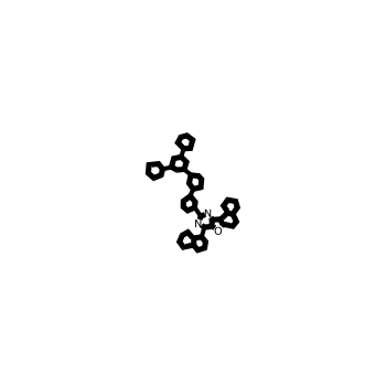 c1ccc(-c2cc(-c3ccccc3)cc(-c3cccc(-c4cccc(-c5nc(-c6cccc7ccccc67)c6oc7ccc8ccccc8c7c6n5)c4)c3)c2)cc1